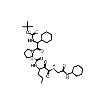 CCCC(NC(=O)[C@@H]1CCCN1C(=O)C(NC(=O)OC(C)(C)C)C1CCCCC1)C(=O)C(=O)NCC(=O)NC1CCCCC1